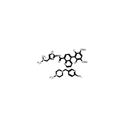 CN1CCN(Cc2ccc(N)nc2)CC1.COc1cc(OC)c(Cl)c(-c2ccc(C(=O)Nc3nc(CN(C)C)c[nH]3)c3ncccc23)c1F